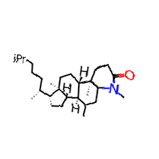 CC(C)CCC[C@@H](C)[C@H]1CC[C@H]2[C@@H]3C(C)CC4N(C)C(=O)CC[C@]4(C)[C@H]3CC[C@]12C